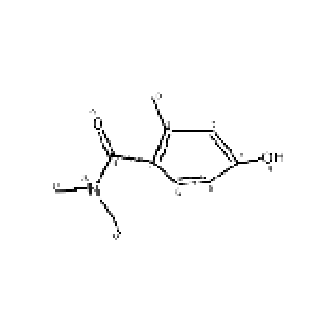 Cc1cc(O)ccc1C(=O)N(C)C